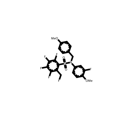 COc1ccc(CN(c2ccc(OC)c(F)c2)S(=O)(=O)c2c(F)c(F)c(F)c(F)c2CF)cc1